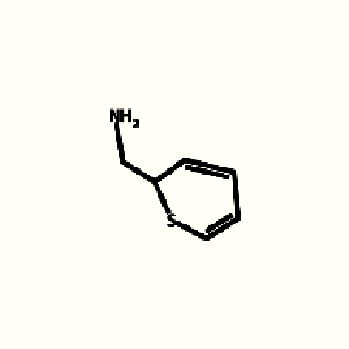 NCC1C=CC=CS1